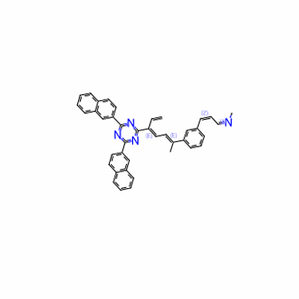 C=C/C(=C\C=C(/C)c1cccc(/C=C\C=N/C)c1)c1nc(-c2ccc3ccccc3c2)nc(-c2ccc3ccccc3c2)n1